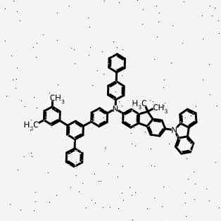 Cc1cc(C)cc(-c2cc(-c3ccccc3)cc(-c3ccc(N(c4ccc(-c5ccccc5)cc4)c4ccc5c(c4)C(C)(C)c4cc(-n6c7ccccc7c7ccccc76)ccc4-5)cc3)c2)c1